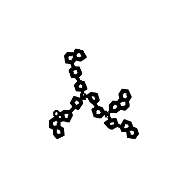 c1cc(-c2cccc(N(c3cccc(-c4ccc5ccccc5c4)c3)c3ccc4c(ccc5ccccc54)c3)c2)cc(N(c2ccc(-c3ccc(-c4cccc5ccccc45)cc3)cc2)c2ccc(-c3ccc4c(c3)oc3ccc5ccccc5c34)cc2)c1